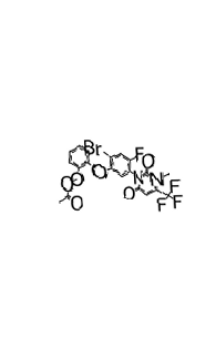 CC(=O)OOc1ccccc1Oc1cc(-n2c(=O)cc(C(F)(F)F)n(C)c2=O)c(F)cc1Br